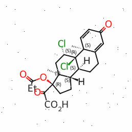 CCC(=O)O[C@]1(C(=O)C(=O)O)CC[C@H]2[C@@H]3CCC4=CC(=O)C=C[C@]4(C)[C@@]3(Cl)[C@@H](Cl)C[C@@]21C